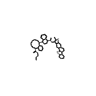 C=C/C=C\C(=C)c1ccccccc(-c2ccc(C(=C)/C=c3\c(=C)sc4cc5ccc6c7ccccc7sc6c5cc34)c3ccccc23)c2ccccc12